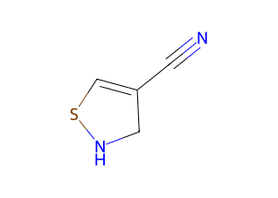 N#CC1=CSNC1